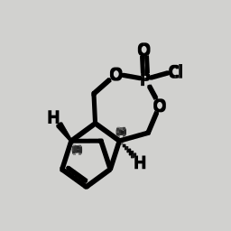 O=P1(Cl)OCC2[C@@H](CO1)C1C=C[C@H]2C1